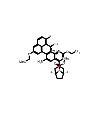 CCCC(C(=O)O)c1c(F)ccc2cc(OCOC)cc(-c3c(N)cc4c(N5C[C@H]6CC[C@@H](C5)N6C(=O)OC(C)(C)C)nc(OCC(F)(F)F)nc4c3F)c12